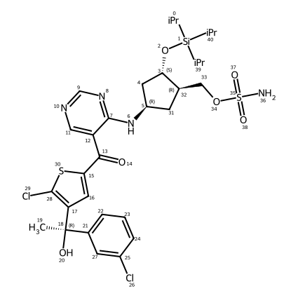 CC(C)[Si](O[C@H]1C[C@H](Nc2ncncc2C(=O)c2cc([C@](C)(O)c3cccc(Cl)c3)c(Cl)s2)C[C@@H]1COS(N)(=O)=O)(C(C)C)C(C)C